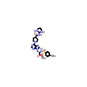 CC(C)(C)OC(=O)[C@H](Cn1cnc2c(N3CCC(C(=O)NC4NC=CCN4)CC3)ncnc21)NS(=O)(=O)c1ccc(C(C)(C)C)cc1